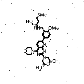 COc1ccc(-c2ccc3c(N4CCOCC4)nc(N4C[C@@H](C)O[C@@H](C)C4)nc3n2)cc1CN[C@H](CO)CCSC